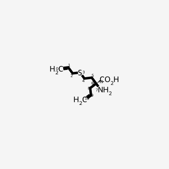 C=CCSCC[C@@](N)(CC=C)C(=O)O